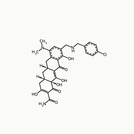 CN(C)c1cc(CNCc2ccc(Cl)cc2)c(O)c2c1C[C@H]1C[C@H]3CC(O)=C(C(N)=O)C(=O)[C@@]3(O)C(O)=C1C2=O